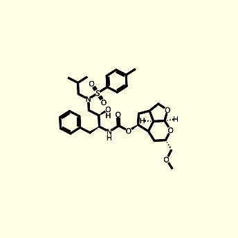 COC[C@@H]1CC2[C@H]3C(CO[C@H]3O1)C[C@@H]2OC(=O)N[C@@H](Cc1ccccc1)[C@H](O)CN(CC(C)C)S(=O)(=O)c1ccc(C)cc1